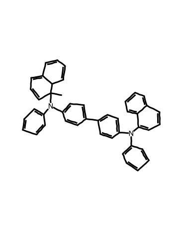 CC1(N(c2ccccc2)c2ccc(-c3ccc(N(c4ccccc4)c4cccc5ccccc45)cc3)cc2)C=CC=C2C=CC=CC21